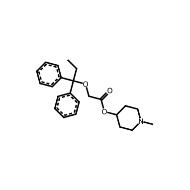 CCC(OCC(=O)OC1CCN(C)CC1)(c1ccccc1)c1ccccc1